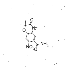 CN1C(=O)C(C)(C)Oc2cc([N+](=O)[O-])c(C(N)=O)cc21